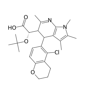 CC1=Nc2c(c(C)c(C)n2C)C(c2ccc3c(c2Cl)CCCO3)C1[C@H](OC(C)(C)C)C(=O)O